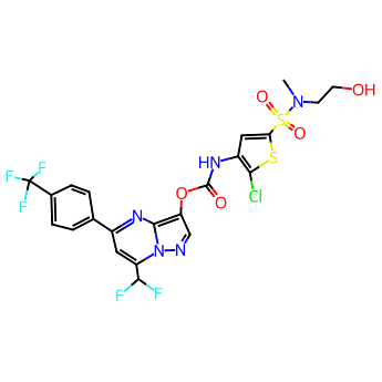 CN(CCO)S(=O)(=O)c1cc(NC(=O)Oc2cnn3c(C(F)F)cc(-c4ccc(C(F)(F)F)cc4)nc23)c(Cl)s1